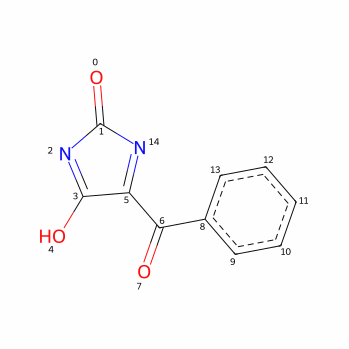 O=C1N=C(O)C(C(=O)c2ccccc2)=N1